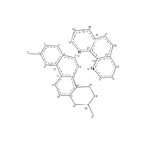 Cc1ccc2ccc3c4c(ccc3c2c1)CC(C)CC4.c1cnc2c(c1)ccc1cccnc12